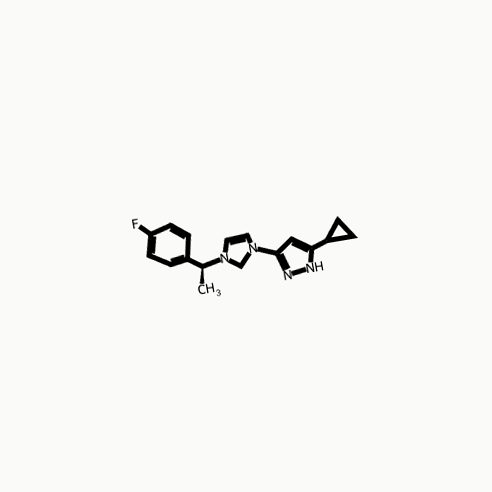 C[C@@H](c1ccc(F)cc1)N1C=CN(c2cc(C3CC3)[nH]n2)C1